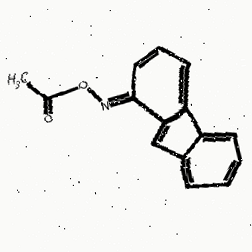 CC(=O)ON=C1C=CC=C2C1=Cc1ccccc12